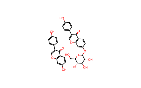 O=c1c(-c2ccc(O)cc2)coc2cc(O)ccc12.O=c1c(-c2ccc(O)cc2)coc2cc(OC3O[C@H](CO)[C@@H](O)[C@H](O)[C@H]3O)ccc12